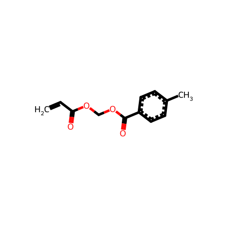 C=CC(=O)OCOC(=O)c1ccc(C)cc1